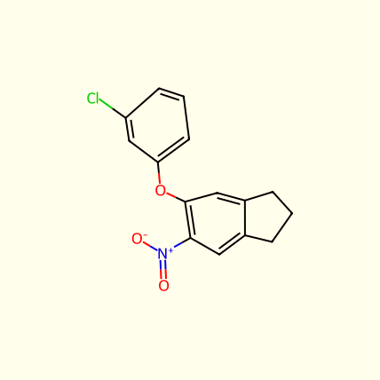 O=[N+]([O-])c1cc2c(cc1Oc1cccc(Cl)c1)CCC2